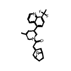 CC1CC(c2ccc(C(C)(F)F)c3ncccc23)CN(C(=O)CC2CC3CCC(C2)N3C)C1